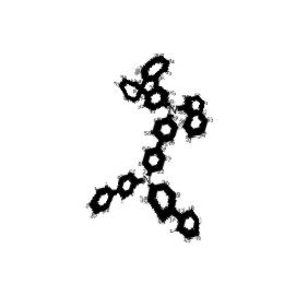 c1ccc(-c2ccc(N(c3ccc(-c4ccccc4)cc3)c3ccc(-c4ccc(N(c5ccc6c(c5)-c5ccccc5C65CCCCC5)c5cccc6ccccc56)cc4)cc3)cc2)cc1